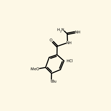 COc1cc(C(=O)NC(=N)N)ccc1C(C)(C)C.Cl